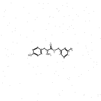 N[C@@H](Cc1ccc(O)cc1)C(=O)OCc1cccc(Br)c1